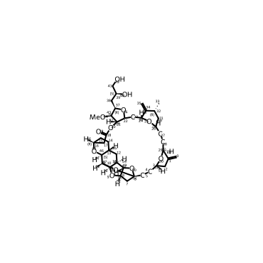 C=C1C[C@@H]2CC[C@@]34C[C@@H]5O[C@@H]6[C@@H](C[C@H]7CC[C@H](CC(=O)O[C@H]8C(C[C@H]9O[C@@H](CC[C@@H]1O2)C[C@@H](C)C9=C)O[C@H](C[C@H](O)CO)[C@@H]8OC)O[C@@H]7[C@@H]6O3)[C@@H]5O4